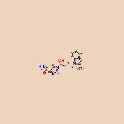 Cc1cc2ccccc2n1CCC[C@@H](O)n1cnc(C(N)=O)c1